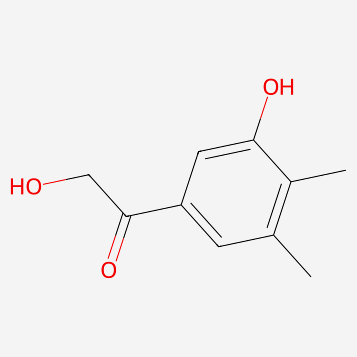 Cc1cc(C(=O)CO)cc(O)c1C